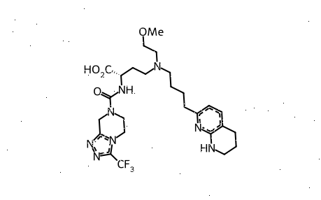 COCCN(CCCCc1ccc2c(n1)NCCC2)CC[C@H](NC(=O)N1CCn2c(nnc2C(F)(F)F)C1)C(=O)O